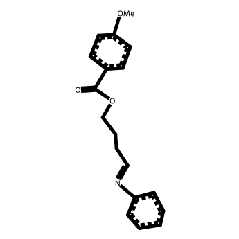 COc1ccc(C(=O)OCCCC=Nc2ccccc2)cc1